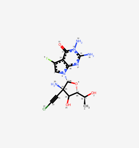 C[C@H](O)[C@H]1O[C@@H](n2cc(F)c3c(=O)n(N)c(N)nc32)[C@@](N)(C#CCl)C1O